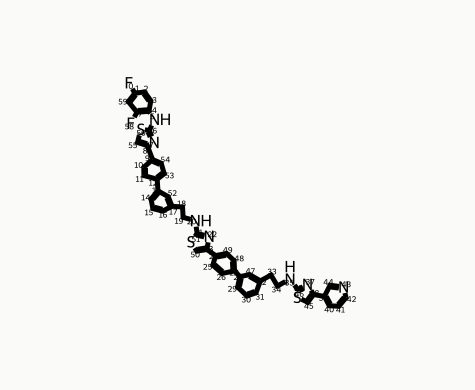 Fc1ccc(Nc2nc(-c3ccc(-c4cccc(CCNc5nc(-c6ccc(-c7cccc(CCNc8nc(-c9cccnc9)cs8)c7)cc6)cs5)c4)cc3)cs2)c(F)c1